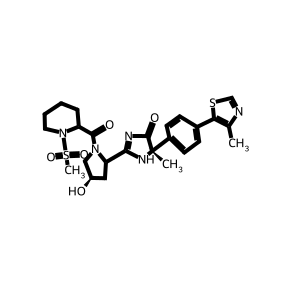 Cc1ncsc1-c1ccc([C@]2(C)NC(C3C[C@@H](O)CN3C(=O)C3CCCCN3S(C)(=O)=O)=NC2=O)cc1